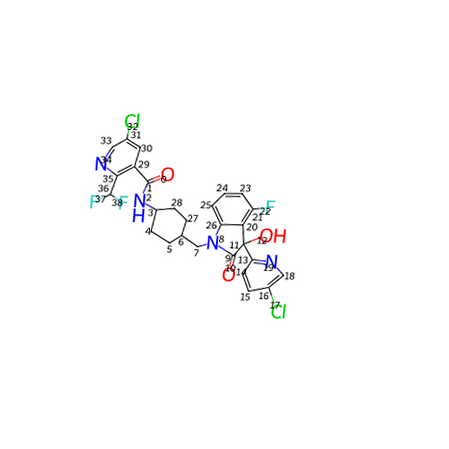 O=C(NC1CCC(CN2C(=O)C(O)(c3ccc(Cl)cn3)c3c(F)cccc32)CC1)c1cc(Cl)cnc1C(F)F